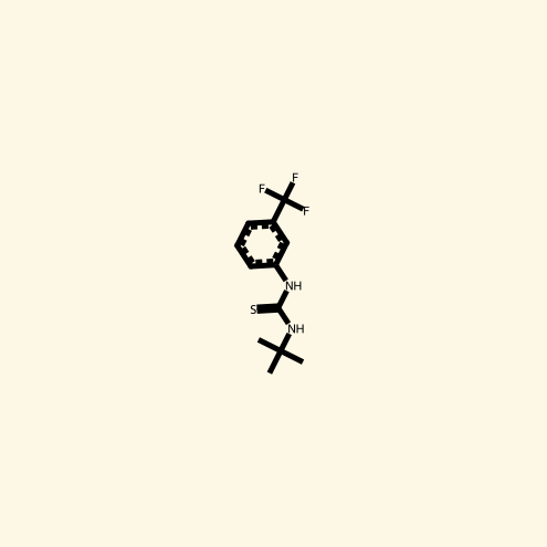 CC(C)(C)NC(=S)Nc1cccc(C(F)(F)F)c1